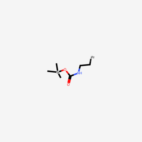 CC(C)CCNC(=O)O[Si](C)(C)C